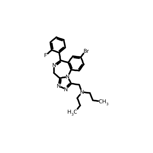 CCCN(CCC)Cc1nnc2n1-c1ccc(Br)cc1C(c1ccccc1F)=NC2